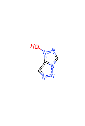 On1ncn2nncc12